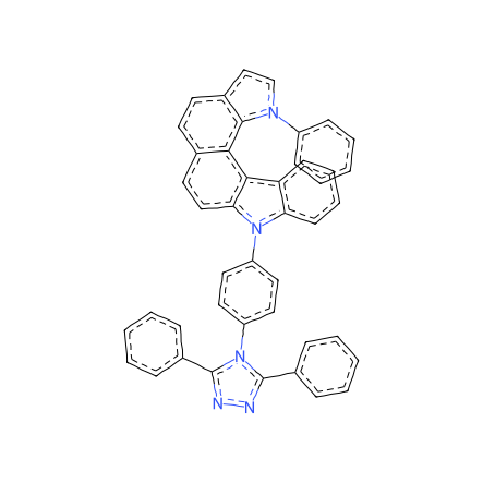 c1ccc(-c2nnc(-c3ccccc3)n2-c2ccc(-n3c4ccccc4c4c5c(ccc6ccn(-c7ccccc7)c65)ccc43)cc2)cc1